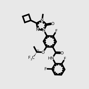 C[C@H](Oc1cc(-n2nc(C3CCC3)n(C)c2=O)c(F)cc1C(=O)Nc1c(F)cccc1F)C(F)(F)F